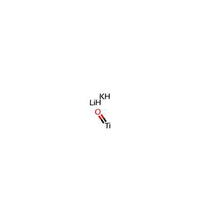 [KH].[LiH].[O]=[Ti]